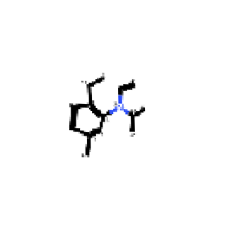 C=CN(c1cc(C)ccc1CC)C(C)C